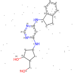 OCC1CC(Nc2cc(NC3CCc4ccccc43)ncn2)CC1O